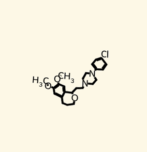 COc1cc2c(cc1OC)C(CCN1CCN(c3ccc(Cl)cc3)CC1)OCCC2